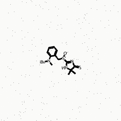 CCC(C)N(C)c1ccccc1C[S+]([O-])C1=NC(=S)C(C)(C)N1